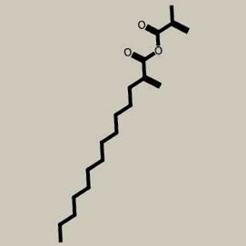 C=C(C)C(=O)OC(=O)C(=C)CCCCCCCCCCCC